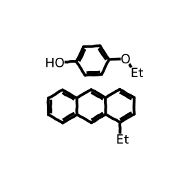 CCOc1ccc(O)cc1.CCc1cccc2cc3ccccc3cc12